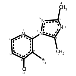 [CH2]c1nc(C)nn1-c1nccc(Cl)c1Br